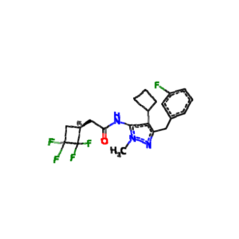 Cn1nc(Cc2cccc(F)c2)c(C2CCC2)c1NC(=O)C[C@@H]1CC(F)(F)C1(F)F